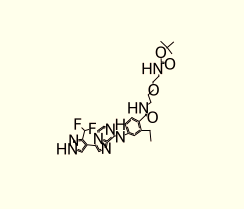 CCc1cc(Nc2nccn3c(-c4c[nH]nc4C(F)F)cnc23)ccc1C(=O)NCCOCCNC(=O)OC(C)(C)C